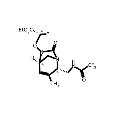 CCOC(=O)[C@H](F)ON1C(=O)N2C[C@H]1C=C(C)[C@H]2CNC(=O)C(F)(F)F